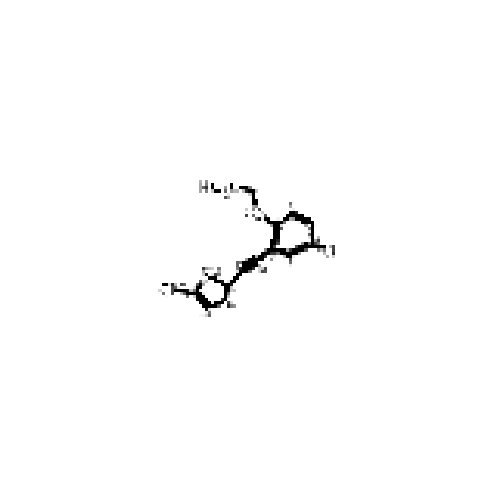 O=C(O)COc1ccc(Cl)cc1C#CC1CC=C(Cl)S1